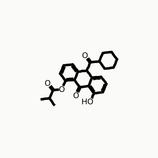 CC(C)C(=O)Oc1cccc2c1C(=O)c1c(O)cccc1C2C(=O)C1CCCCC1